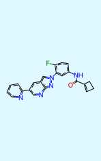 O=C(Nc1ccc(F)c(-n2cc3cc(-c4ccccn4)cnc3n2)c1)C1=CCC1